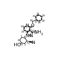 N#C[C@H]1C[C@H](O)CC[C@@H]1n1nc(N)c2c(OCc3ccccc3)nccc21